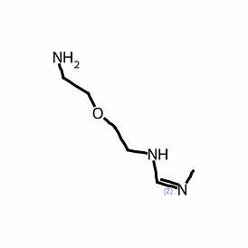 C/N=C\NCCOCCN